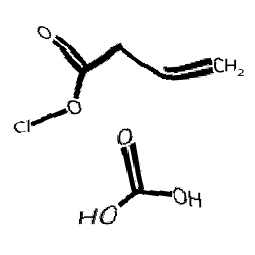 C=CCC(=O)OCl.O=C(O)O